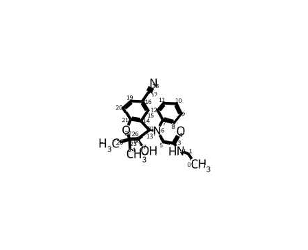 CCNC(=O)CN(c1ccccc1)[C@@H]1c2cc(C#N)ccc2OC(C)(C)[C@@H]1O